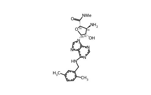 CNC(=O)[C@H]1O[C@@H](n2cnc3c(NCc4cc(C)ccc4C)ncnc32)[C@@H](O)[C@@H]1N